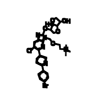 C[Si](C)(C)CCOCn1c(OC2COC3C(O)CO[C@H]23)nc2cc(Cl)c(-c3ccc(-c4ccc(Br)cc4)nc3)nc21